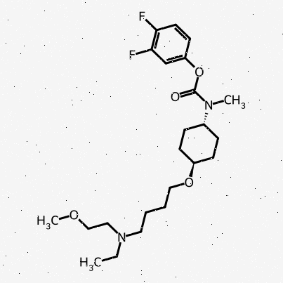 CCN(CCCCO[C@H]1CC[C@H](N(C)C(=O)Oc2ccc(F)c(F)c2)CC1)CCOC